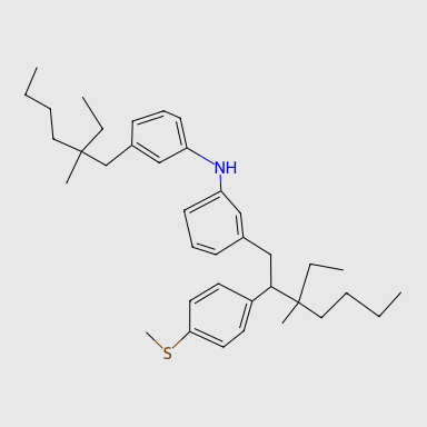 CCCCC(C)(CC)Cc1cccc(Nc2cccc(CC(c3ccc(SC)cc3)C(C)(CC)CCCC)c2)c1